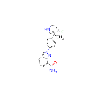 C[C@@]1(c2ccc(-n3cc4cccc(C(N)=O)c4n3)cc2)CNCC[C@@H]1F